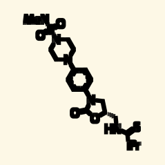 CNS(=O)(=O)N1CCN(c2ccc(N3C[C@H](CNC(=S)C(C)C)OC3=O)cc2)CC1